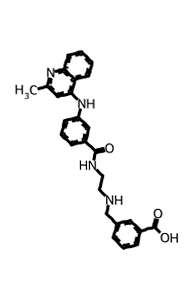 Cc1cc(Nc2cccc(C(=O)NCCNCc3cccc(C(=O)O)c3)c2)c2ccccc2n1